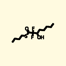 CCCCCC(O)C(F)(F)C(=O)SCCCC